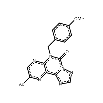 COc1ccc(Cn2c(=O)n3ncnc3c3nc(C(C)=O)cnc32)cc1